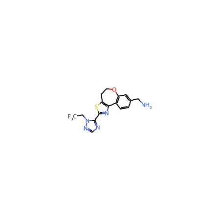 NCc1ccc2c(c1)OCCc1sc(-c3ncnn3CC(F)(F)F)nc1-2